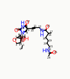 CC[C@@]12COC([C@H](n3cc(C#CCNC(=O)C(C)CCCCNC(C)=O)c(=O)[nH]c3=O)O1)[C@H]2O